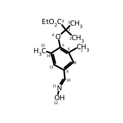 CCOC(=O)C(C)(C)Oc1c(C)cc(C=NO)cc1C